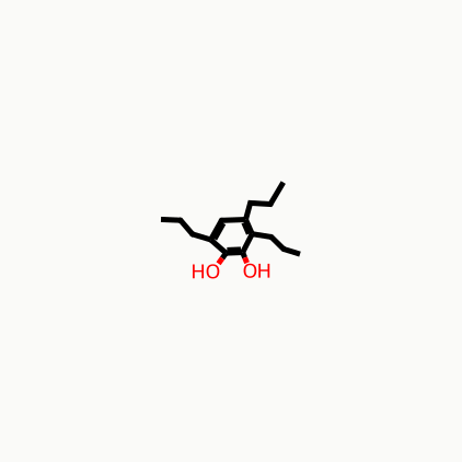 CCCc1cc(CCC)c(CCC)c(O)c1O